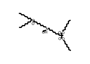 CCCCCCCCOC(=O)C(C)(CCCCCCCCN(CCO)CCCCCCCC(=O)OC(CCCCCCCC)CCCCCCCC)C(=O)OCCCCCCCC